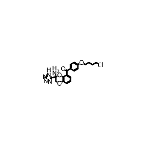 NC1(c2nnn[nH]2)COc2cccc(C(=O)c3ccc(OCCCCCl)cc3)c2O1